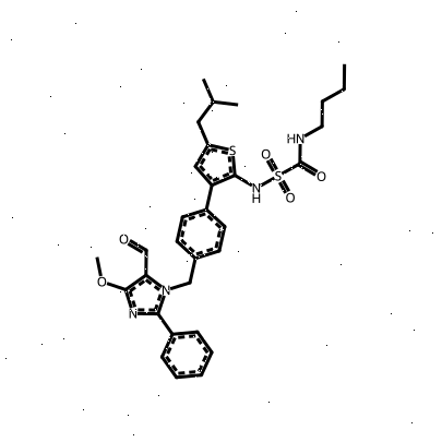 CCCCNC(=O)S(=O)(=O)Nc1sc(CC(C)C)cc1-c1ccc(Cn2c(-c3ccccc3)nc(OC)c2C=O)cc1